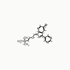 C[Si](C)(C)CCOCn1nc(-c2cncnc2)c2cc(Br)cnc21